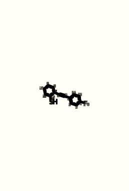 Fc1ccc(C#Cc2ccccc2S)cc1